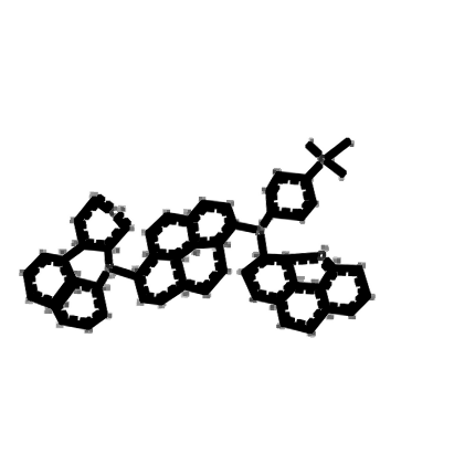 C[Si](C)(C)c1ccc(N(c2ccc3ccc4c(N(c5ccccc5)c5ccccc5-c5ccccc5)ccc5ccc2c3c54)c2ccc3ccc4cccc5oc2c3c45)cc1